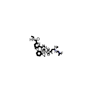 C=N/C(C[C@@H](C)S(=O)(=O)Nc1nnc(-c2cccc(C(=O)NCC)n2)n1-c1c(OC)cccc1OC)=N\C=C(/C)F